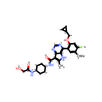 COc1cc(-c2ncnc3c(C(=O)N[C@H]4CC[C@H](NC(=O)CO)CC4)c(C)[nH]c23)c(OCC2CC2)cc1F